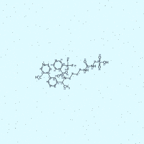 Cc1cnccc1-c1cccc(C(C)N(CCCCNC(=O)NCS(=O)(=O)O)S(=O)(=O)c2ccccc2C(F)(F)F)c1